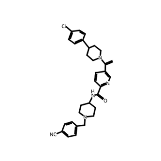 C=C(c1ccc(C(=O)NC2CCN(Cc3ccc(C#N)cc3)CC2)nc1)N1CCC(c2ccc(Cl)cc2)CC1